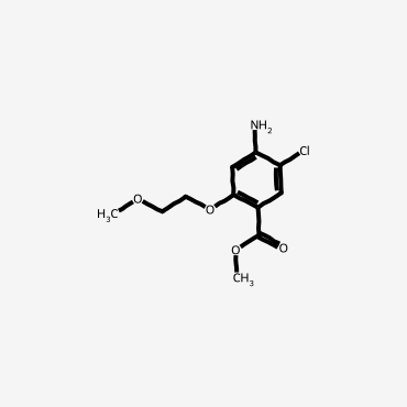 COCCOc1cc(N)c(Cl)cc1C(=O)OC